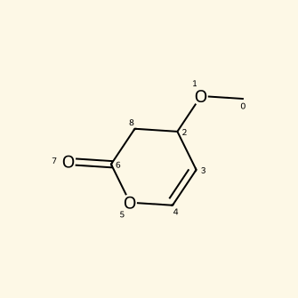 COC1C=COC(=O)C1